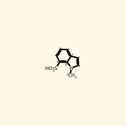 Cn1ccc2cccc(S(=O)(=O)O)c21